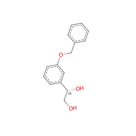 OC[C@@H](O)c1cccc(OCc2ccccc2)c1